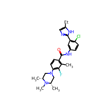 CCc1cnc(-c2cc(NC(=O)c3ccc(N4C[C@@H](C)N(C)[C@@H](C)C4)c(F)c3C)ccc2Cl)[nH]1